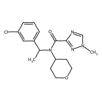 CC(c1cccc(Cl)c1)N(C(=O)c1ncn(C)n1)C1CCOCC1